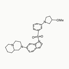 COC1CCN(c2cccc(S(=O)(=O)n3ccc4ccc(N5CCN6CCCCC6C5)cc43)c2)C1